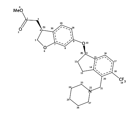 COC(=O)C[C@@H]1COc2cc(O[C@@H]3CCc4c3ccc(C(F)(F)F)c4CN3CCCCC3)ccc21